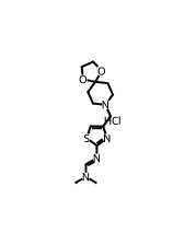 CN(C)/C=N/c1nc(CN2CCC3(CC2)OCCO3)cs1.Cl